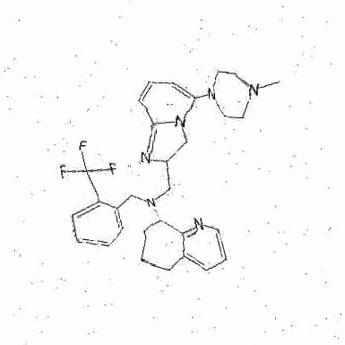 CN1CCN(C2=CC=CC3=NC(CN(Cc4ccccc4C(F)(F)F)[C@H]4CCCc5cccnc54)CN23)CC1